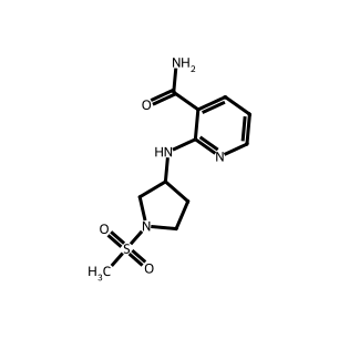 CS(=O)(=O)N1CCC(Nc2ncccc2C(N)=O)C1